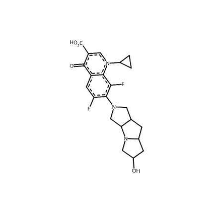 O=C(O)c1cn(C2CC2)c2c(F)c(N3CC4CC5CC(O)CN5C4C3)c(F)cc2c1=O